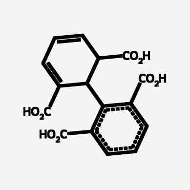 O=C(O)C1=CC=CC(C(=O)O)C1c1c(C(=O)O)cccc1C(=O)O